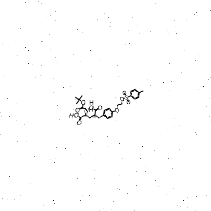 Cc1ccc(S(=O)(=O)OCCOc2ccc(C[C@@H](C[C@H](NC(=O)OC(C)(C)C)C(=O)O)C(=O)O)cc2)cc1